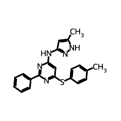 Cc1ccc(Sc2cc(Nc3cc(C)[nH]n3)nc(-c3ccccc3)n2)cc1